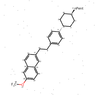 CCCCC[C@H]1CC[C@H](c2ccc(CCc3ccc4cc(OC(F)(F)F)ccc4c3)cc2)CC1